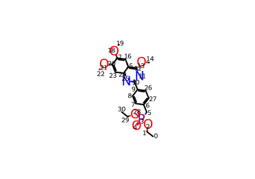 CCOP(=O)(Cc1ccc(-c2nc(OC)c3cc(OC)c(OC)cc3n2)cc1)OCC